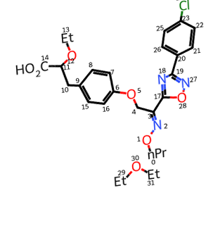 CCCO/N=C(\COc1ccc(CC(OCC)C(=O)O)cc1)c1nc(-c2ccc(Cl)cc2)no1.CCOCC